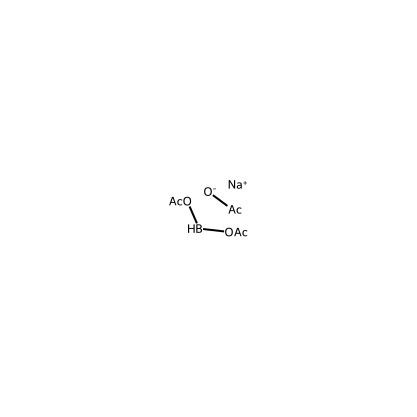 CC(=O)OBOC(C)=O.CC(=O)[O-].[Na+]